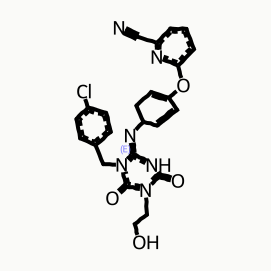 N#Cc1cccc(OC2=CCC(/N=c3\[nH]c(=O)n(CCO)c(=O)n3Cc3ccc(Cl)cc3)C=C2)n1